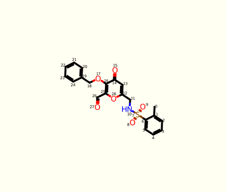 Cc1ccccc1S(=O)(=O)NCc1cc(=O)c(OCc2ccccc2)c(C=O)o1